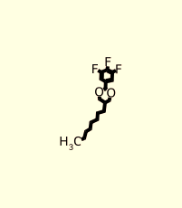 CCCCCCCCC1COC(c2cc(F)c(F)c(F)c2)OC1